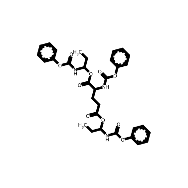 CCC(NC(=O)Oc1ccccc1)OC(=O)CCC(NC(=O)Oc1ccccc1)C(=O)OC(CC)NC(=O)Oc1ccccc1